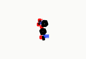 CC(=O)Nc1ccc(Oc2ccccc2[N+](=O)[O-])cc1